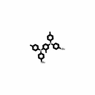 CCCCc1ccc(N(c2ccc(C)cc2)c2ccc(N(c3ccc(C)cc3)c3ccc(CCCC)cc3)c(C)c2)cc1